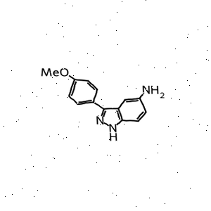 COc1ccc(-c2n[nH]c3ccc(N)cc23)cc1